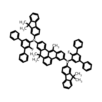 Cc1c2c3c(cccc3c3cc(N(c4ccc5c(c4)C(C)(C)c4ccccc4-5)c4cc(-c5ccccc5)cc(-c5ccccc5)c4F)ccc13)C(C)(C)c1cc(N(c3ccc4c(c3)C(C)(C)c3ccccc3-4)c3cc(-c4ccccc4)cc(-c4ccccc4)c3F)ccc1-2